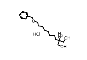 Cl.NC(CO)(CO)CCCCCCCCOCc1ccccc1